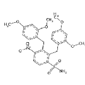 COc1ccc(Cc2c([N+](=O)[O-])ccc(S(N)(=O)=O)c2Cc2ccc(OC)cc2OC)c(OC)c1